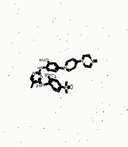 COc1cc(N2CCC(N3CCN(C)CC3)CC2)ccc1Nc1ncc(C)c(Nc2ccc(P(C)(C)=O)cc2OC)n1